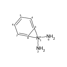 N[N+]1(N)c2ccccc21